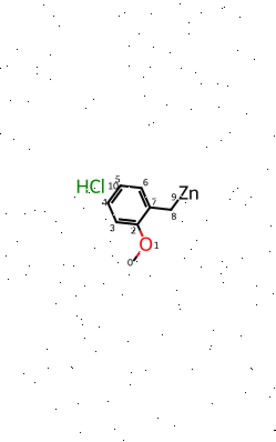 COc1ccccc1[CH2][Zn].Cl